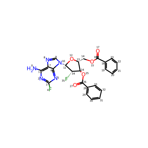 Nc1nc(F)nc2c1ncn2[C@@H]1O[C@H](COC(=O)c2ccccc2)[C@@H](OC(=O)c2ccccc2)[C@@H]1F